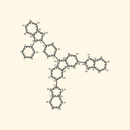 c1ccc(-n2c(-c3ccc(-n4c5ccc(-c6nc7ccccc7o6)cc5c5cc(-c6nc7ccccc7s6)ccc54)cc3)nc3ccccc32)cc1